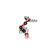 CC#C[C@@H](CC(=O)OC)c1ccc(OCc2ccc3sc(C)c(-c4ccc(OC5CCS(=O)(=O)CC5)cc4C)c3c2)cc1